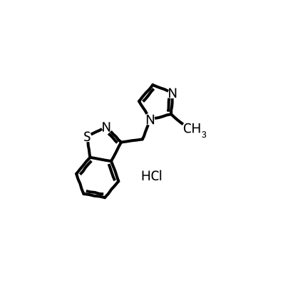 Cc1nccn1Cc1nsc2ccccc12.Cl